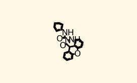 NN(C(=O)Nc1ccccc1)C(=O)C1c2ccccc2Oc2ccccc21